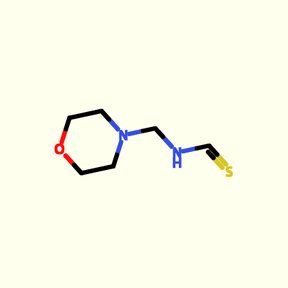 S=CNCN1CCOCC1